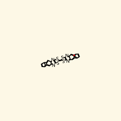 C1=CC2CC1c1cc3nc4c(nc3cc12)SC(=C1Sc2nc3cc5c(cc3nc2S1)C1C=CC5C1)S4